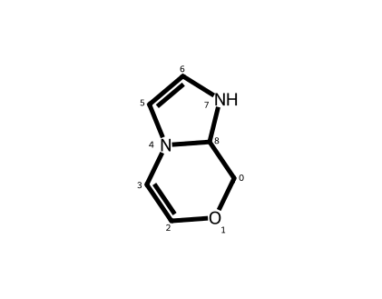 [CH]1OC=CN2C=CNC12